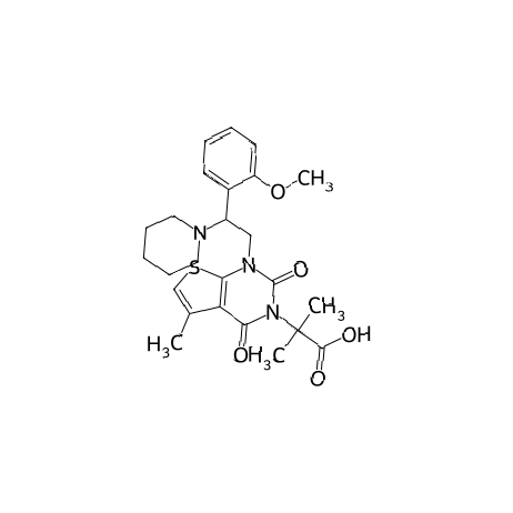 COc1ccccc1C(Cn1c(=O)n(C(C)(C)C(=O)O)c(=O)c2c(C)csc21)N1CCCCC1